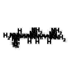 Nc1nc(N)nc(NCCCCCNc2nc(N)nc(NCCCCNc3nc(N)nc(N4CCCC4)n3)n2)n1